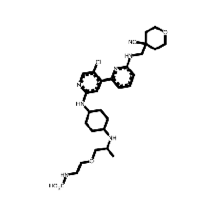 CC(COCCNC(=O)O)NC1CCC(Nc2cc(-c3cccc(NCC4(C#N)CCOCC4)n3)c(Cl)cn2)CC1